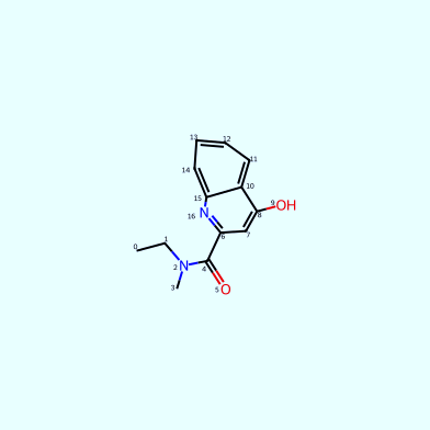 CCN(C)C(=O)c1cc(O)c2ccccc2n1